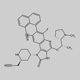 C[C@H](Oc1nc2c(F)c(-c3cccc4cccc(C#N)c34)c(Cl)cc2c2c1[nH]c(=O)n2[C@H]1CCN[C@H](CC#N)C1)[C@@H]1CCCN1C